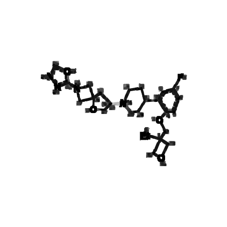 CCC1(COc2ccc(F)cc2C2CCN([C@@H]3COC4(C3)CN(c3nnco3)C4)CC2)COC1